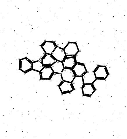 c1ccc(-c2ccccc2-c2ccccc2-c2ccccc2N(c2ccc3c(c2)oc2ccccc23)c2ccccc2-c2cccc3cccc(C4CCCCC4)c23)cc1